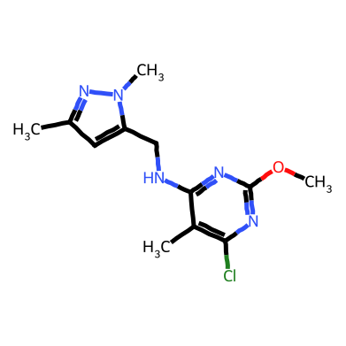 COc1nc(Cl)c(C)c(NCc2cc(C)nn2C)n1